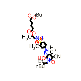 CCCCC(CC)Cn1c(O)c(N=Nc2ccc(S(=O)(=O)NCC(C)OC(=O)CCCCC(=O)OC(C)CC)c(C)c2)c(C)c(C#N)c1=O